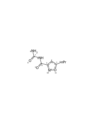 CCCc1cc(C(=O)NC(N)=O)no1